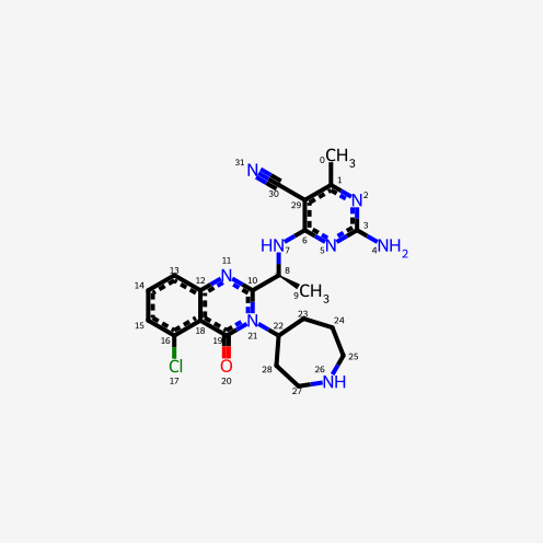 Cc1nc(N)nc(N[C@@H](C)c2nc3cccc(Cl)c3c(=O)n2C2CCCNCC2)c1C#N